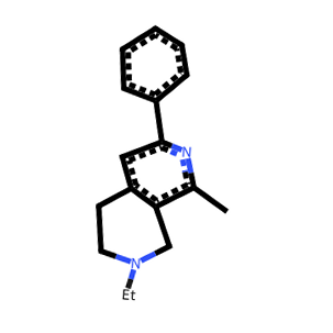 CCN1CCc2cc(-c3ccccc3)nc(C)c2C1